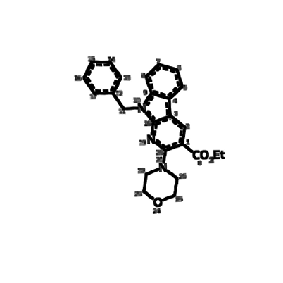 CCOC(=O)c1cc2c3ccccc3n(Cc3ccccc3)c2nc1N1CCOCC1